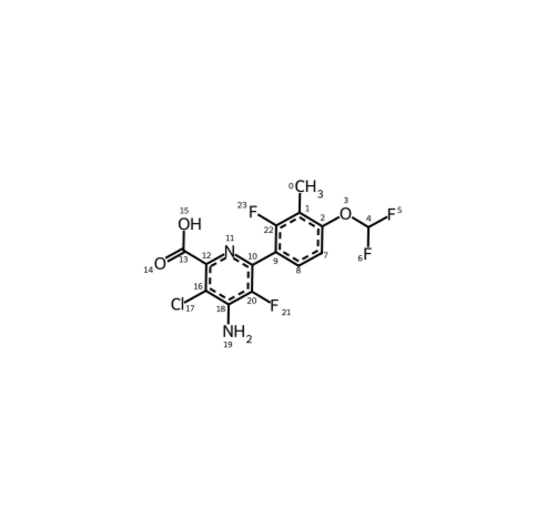 Cc1c(OC(F)F)ccc(-c2nc(C(=O)O)c(Cl)c(N)c2F)c1F